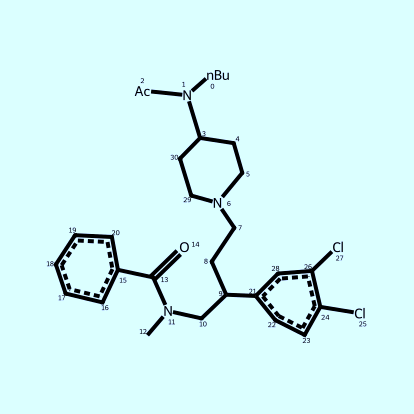 CCCCN(C(C)=O)C1CCN(CCC(CN(C)C(=O)c2ccccc2)c2ccc(Cl)c(Cl)c2)CC1